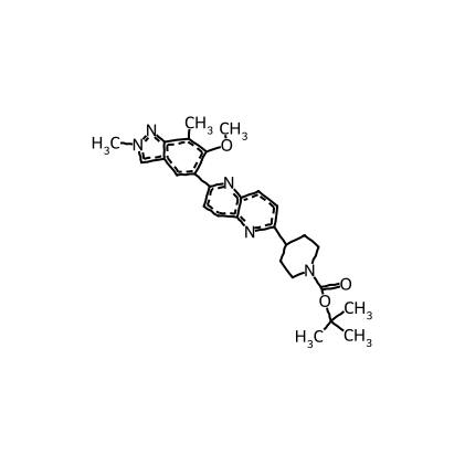 COc1c(-c2ccc3nc(C4CCN(C(=O)OC(C)(C)C)CC4)ccc3n2)cc2cn(C)nc2c1C